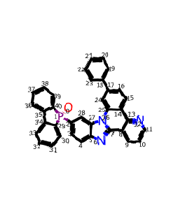 O=P1(c2ccc3nc4c5cccnc5c5ccc(-c6ccccc6)cc5n4c3c2)c2ccccc2-c2ccccc21